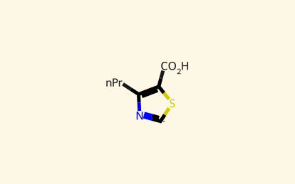 CCCc1n[c]sc1C(=O)O